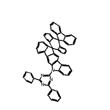 c1ccc(-c2nc(-c3ccccc3)nc(-n3c4ccccc4c4cc5c(cc43)-c3ccccc3C53c4ccccc4C4(c5ccccc5-c5ccccc54)c4ccccc43)n2)cc1